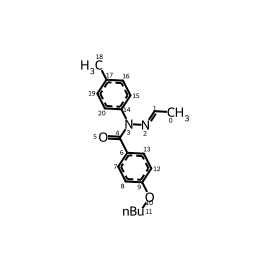 C/C=N/N(C(=O)c1ccc(OCCCC)cc1)c1ccc(C)cc1